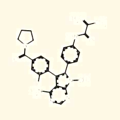 C=C(C)C(=O)Nc1ccc(-c2c(-c3ccc(C(=O)N4CCCC4)cc3F)c3c(N)ncnc3n2C)cc1